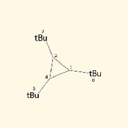 CC(C)(C)C1C(C(C)(C)C)C1C(C)(C)C